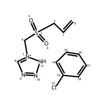 C=CCS(=O)(=O)C[n+]1cnn[nH]1.Clc1ccccc1